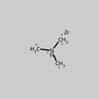 [CH2][SiH](C)C.[Zr]